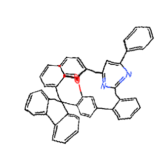 C1=CCC2Oc3cc(-c4ccccc4-c4nc(-c5ccccc5)cc(-c5ccccc5)n4)ccc3C3(C2=C1)c1ccccc1-c1ccccc13